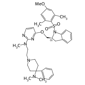 COc1cc(C)c(S(=O)(=O)N2c3ccccc3C[C@H]2COc2ccnc(N(C)CCN3CCC(c4ccccc4)(N(C)C)CC3)n2)c(C)c1